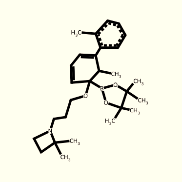 Cc1ccccc1C1=CC=CC(OCCCN2CCC2(C)C)(B2OC(C)(C)C(C)(C)O2)C1C